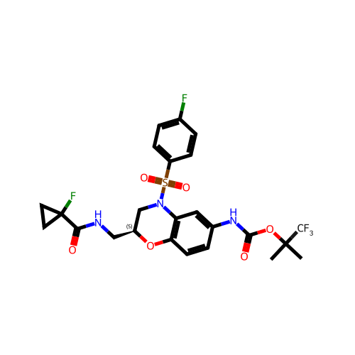 CC(C)(OC(=O)Nc1ccc2c(c1)N(S(=O)(=O)c1ccc(F)cc1)C[C@H](CNC(=O)C1(F)CC1)O2)C(F)(F)F